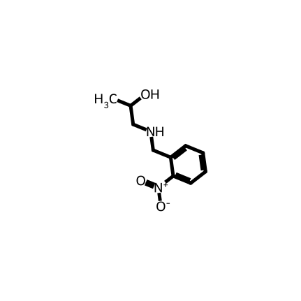 CC(O)CNCc1ccccc1[N+](=O)[O-]